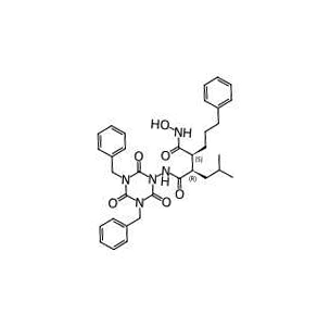 CC(C)C[C@@H](C(=O)Nn1c(=O)n(Cc2ccccc2)c(=O)n(Cc2ccccc2)c1=O)[C@H](CCCc1ccccc1)C(=O)NO